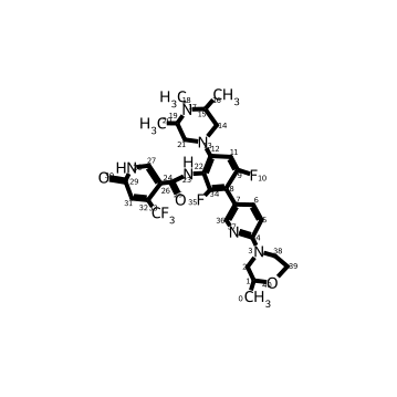 CC1CN(c2ccc(-c3c(F)cc(N4CC(C)N(C)C(C)C4)c(NC(=O)c4c[nH]c(=O)cc4C(F)(F)F)c3F)cn2)CCO1